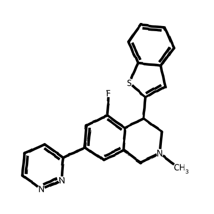 CN1Cc2cc(-c3cccnn3)cc(F)c2C(c2cc3ccccc3s2)C1